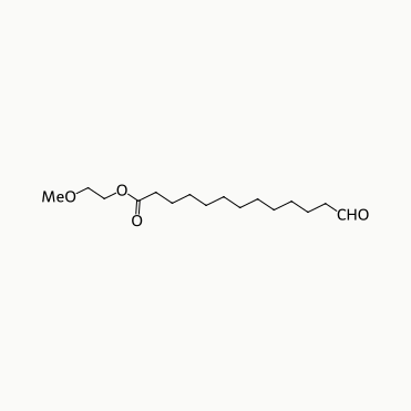 COCCOC(=O)CCCCCCCCCCCC=O